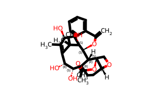 C=C(O[C@H]1[C@H]2[C@@](C)(CC[C@H]3OC[C@]32OC(C)=O)[C@H](O)[C@H](O)C2=C(C)[C@@H](O)C[C@]1(O)C2(C)C)c1ccccc1